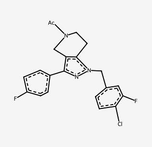 CC(=O)N1CCc2c(c(-c3ccc(F)cc3)nn2Cc2ccc(Cl)c(F)c2)C1